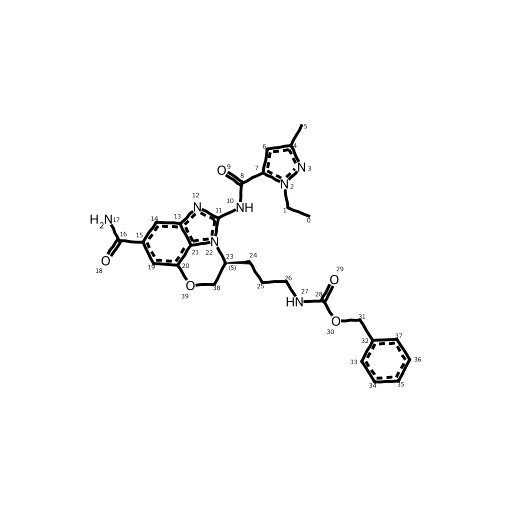 CCn1nc(C)cc1C(=O)Nc1nc2cc(C(N)=O)cc3c2n1[C@@H](CCCNC(=O)OCc1ccccc1)CO3